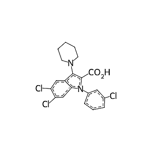 O=C(O)c1c(N2CCCCC2)c2cc(Cl)c(Cl)cc2n1-c1cccc(Cl)c1